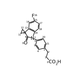 O=C(O)CCc1ccc(N2C(=O)C3(CC3)c3cc(F)ccc32)cc1